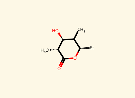 CC[C@H]1OC(=O)[C@H](C)[C@@H](O)C1C